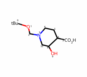 CC(C)(C)OCN1CCC(C(=O)O)C(O)C1